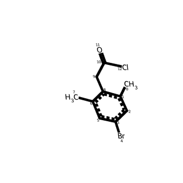 Cc1cc(Br)cc(C)c1CC(=O)Cl